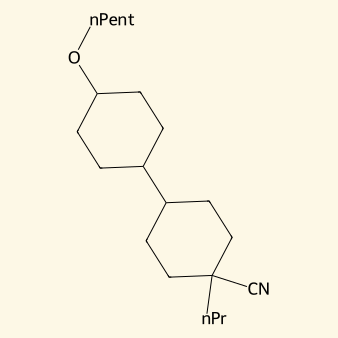 CCCCCOC1CCC(C2CCC(C#N)(CCC)CC2)CC1